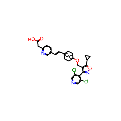 O=C(O)Cc1ccc(/C=C/C23CCC(OCc4c(-c5c(Cl)cncc5Cl)noc4C4CC4)(CC2)CC3)cn1